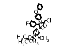 CC[C@@H]1CN(C(=O)[C@@H](C2C=CC(F)=CC2)N(C(=O)CCl)c2ccc(Oc3ccccc3)cc2)CCN1C(=O)OC(C)(C)C